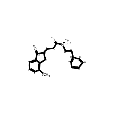 Cc1cccc2c1CC(CCC(=O)N(C)CCc1ccccc1)C2=O